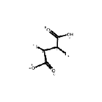 O=C(O)C(I)C(I)C(=O)O